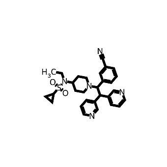 CCN(C1CCN(C(c2cccc(C#N)c2)C(c2cccnc2)c2cccnc2)CC1)S(=O)(=O)C1CC1